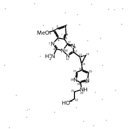 COc1cccc2c1nc(N)n1nc(C3CC3c3cnc(NCCO)nc3)nc21